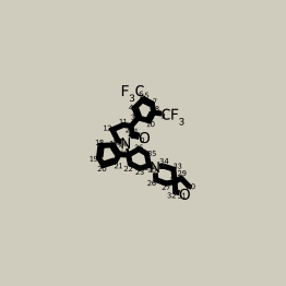 O=C1C(c2cc(C(F)(F)F)cc(C(F)(F)F)c2)CCCN1[C@]1(c2ccccc2)CC[C@@H](N2CCC3(CCOC3)CC2)CC1